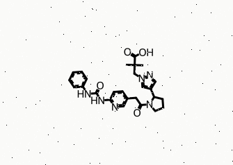 CC(C)(Cn1cc(C2CCCN2C(=O)Cc2ccc(NC(=O)Nc3ccccc3)nc2)cn1)C(=O)O